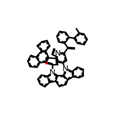 C=C/C=C\C(=C/C)n1c2ccccc2c2ccc3c4ccccc4n(-c4cc(C(=C)c5ccccc5-c5ccccc5C)nc(-c5cc6ccccc6c6ccccc56)c4)c3c21